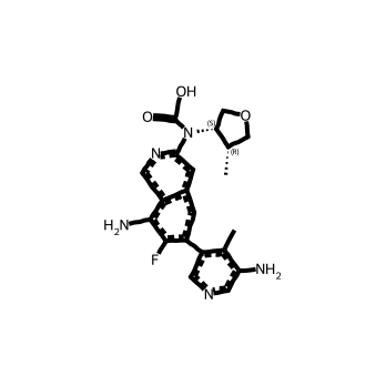 Cc1c(N)cncc1-c1cc2cc(N(C(=O)O)[C@@H]3COC[C@@H]3C)ncc2c(N)c1F